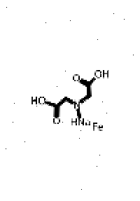 CN(CC(=O)O)CC(=O)O.[Fe].[NaH]